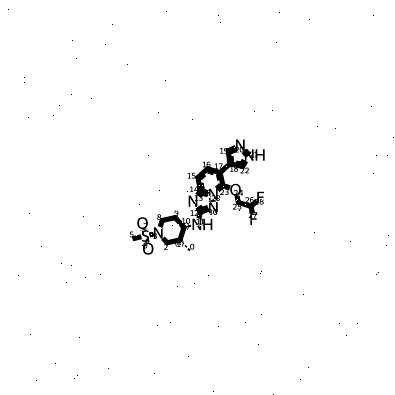 C[C@@H]1CN(S(C)(=O)=O)CC[C@@H]1Nc1nc2ccc(-c3cn[nH]c3)c(OCC(F)F)n2n1